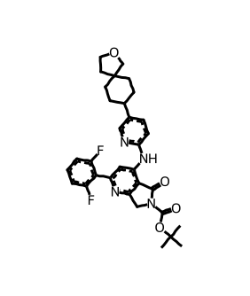 CC(C)(C)OC(=O)N1Cc2nc(-c3c(F)cccc3F)cc(Nc3ccc(C4CCC5(CCOC5)CC4)cn3)c2C1=O